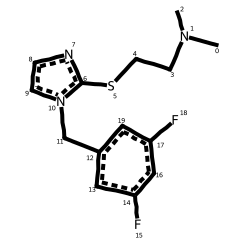 CN(C)CCSc1nccn1Cc1cc(F)cc(F)c1